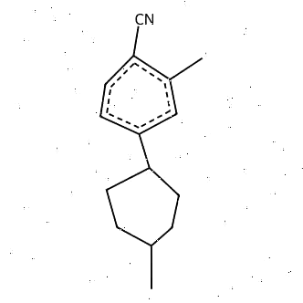 Cc1cc(C2CCC(C)CC2)ccc1C#N